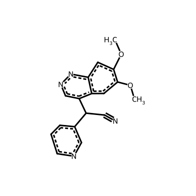 COc1cc2nncc(C(C#N)c3cccnc3)c2cc1OC